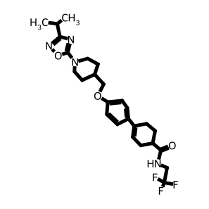 CC(C)c1noc(N2CCC(COc3ccc(C4=CCC(C(=O)NCC(F)(F)F)CC4)cc3)CC2)n1